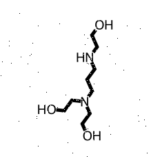 OCCNCCCN(CCO)CCO